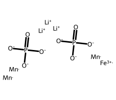 O=P([O-])([O-])[O-].O=P([O-])([O-])[O-].[Fe+3].[Li+].[Li+].[Li+].[Mn].[Mn].[Mn]